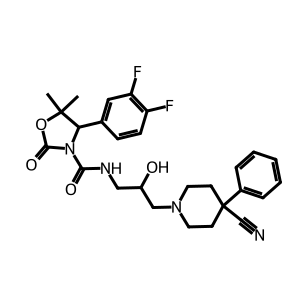 CC1(C)OC(=O)N(C(=O)NCC(O)CN2CCC(C#N)(c3ccccc3)CC2)C1c1ccc(F)c(F)c1